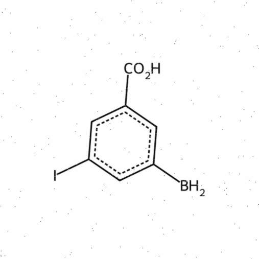 Bc1cc(I)cc(C(=O)O)c1